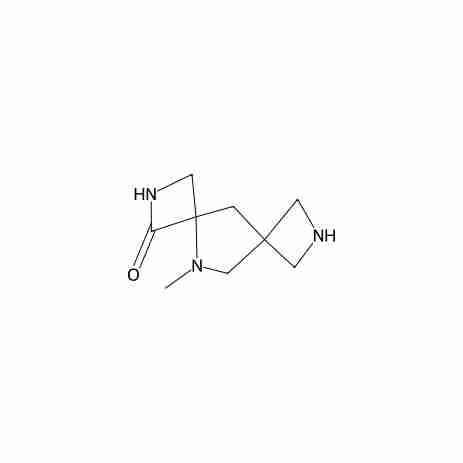 CN1CC2(CNC2)CC12CNC2=O